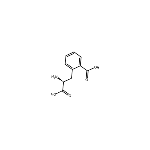 N[C@@H](Cc1ccccc1C(=O)O)C(=O)O